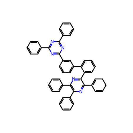 C1=CC(c2nc(-c3ccccc3)c(-c3ccccc3)nc2-c2ccccc2-c2cccc(-c3nc(-c4ccccc4)nc(-c4ccccc4)n3)c2)=CCC1